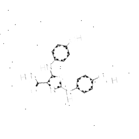 COc1ccc(Nc2nc(C(N)=O)c(Nc3ccc(O)cc3)s2)cc1